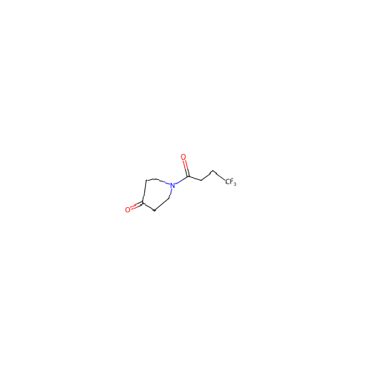 O=C1CCN(C(=O)CCC(F)(F)F)CC1